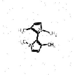 CC1=C(C2=C(C)C=C[As]2C)[As](C)C=C1